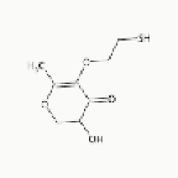 CC1=C(OCCS)C(=O)C(O)CO1